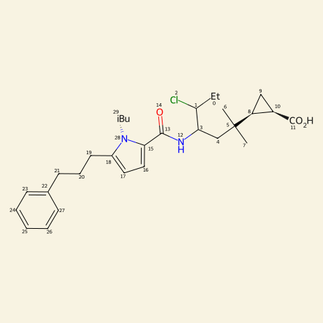 CCC(Cl)C(CC(C)(C)[C@H]1C[C@H]1C(=O)O)NC(=O)c1ccc(CCCc2ccccc2)n1[C@@H](C)CC